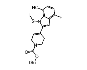 CC(C)(C)OC(=O)N1CC=C(c2cc3c(F)ccc(C#N)c3n2SI)CC1